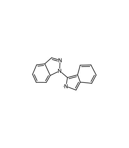 C1=c2ccccc2=C(n2ncc3ccccc32)[N]1